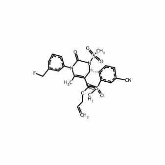 C=CCOC(=O)C1=C(C)N(c2cccc(CF)c2)C(=O)N(S(C)(=O)=O)[C@@H]1c1ccc(C#N)cc1S(C)(=O)=O